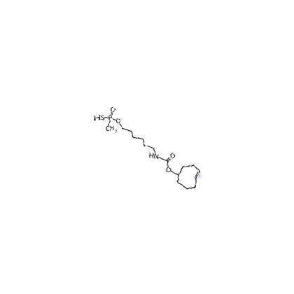 CP(=O)(S)OCCCCCCNC(=O)OC1CC/C=C/CCC1